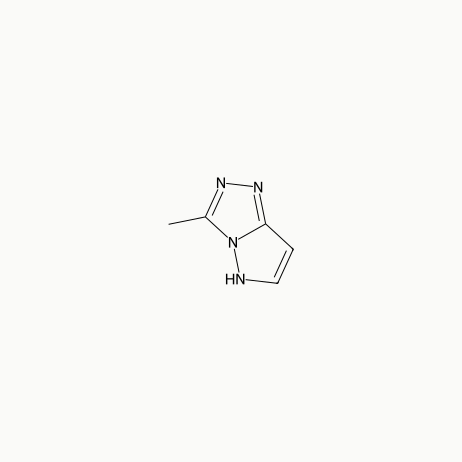 Cc1nnc2cc[nH]n12